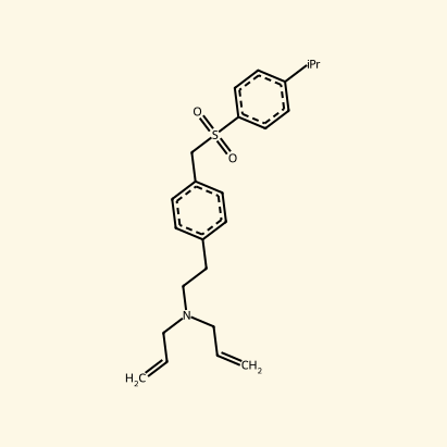 C=CCN(CC=C)CCc1ccc(CS(=O)(=O)c2ccc(C(C)C)cc2)cc1